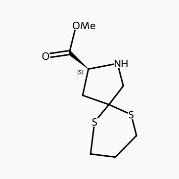 COC(=O)[C@@H]1CC2(CN1)SCCCS2